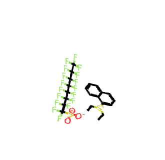 CC[S+](CC)c1cccc2ccccc12.O=S(=O)([O-])C(F)(F)C(F)(F)C(F)(F)C(F)(F)C(F)(F)C(F)(F)C(F)(F)C(F)(F)F